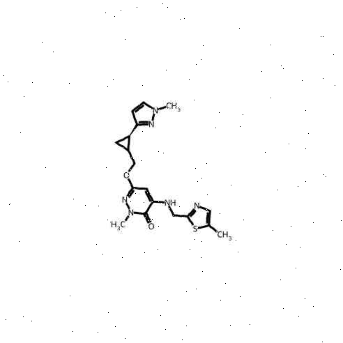 Cc1cnc(CNc2cc(OCC3C[C@H]3c3ccn(C)n3)nn(C)c2=O)s1